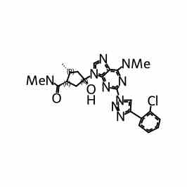 CNC(=O)[C@@H]1C[C@@](O)(n2cnc3c(NC)nc(-n4cc(-c5ccccc5Cl)nn4)nc32)C[C@H]1C